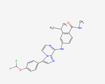 CNC(=O)c1ccc(Nc2nccn3c(-c4ccc(OC(F)F)cc4)cnc23)cc1C(C)C